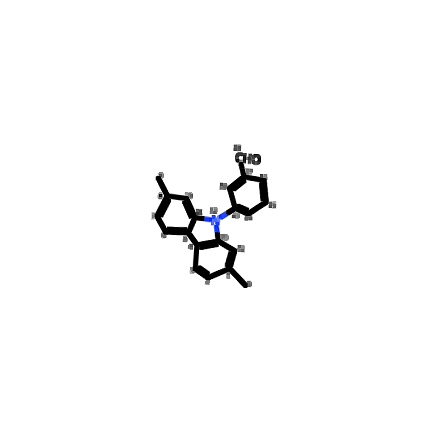 Cc1ccc2c3ccc(C)cc3n(-c3cccc(C=O)c3)c2c1